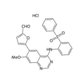 COc1cc2ncnc(Nc3ccccc3S(=O)(=O)c3ccccc3)c2cc1-c1ccc(C=O)o1.Cl